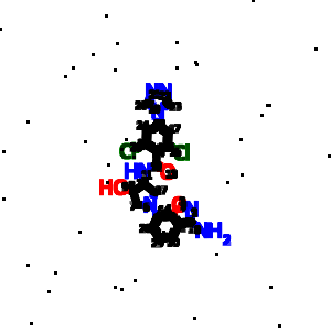 Nc1noc2c(N3CC(O)C(NC(=O)c4c(Cl)cc(-n5cnnc5)cc4Cl)C3)cccc12